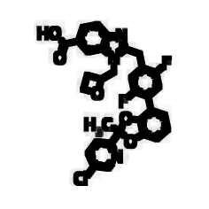 CC1(c2ccc(Cl)cn2)Oc2cccc(-c3cc(F)c(Cc4nc5ccc(C(=O)O)cc5n4CC4CCO4)cc3F)c2O1